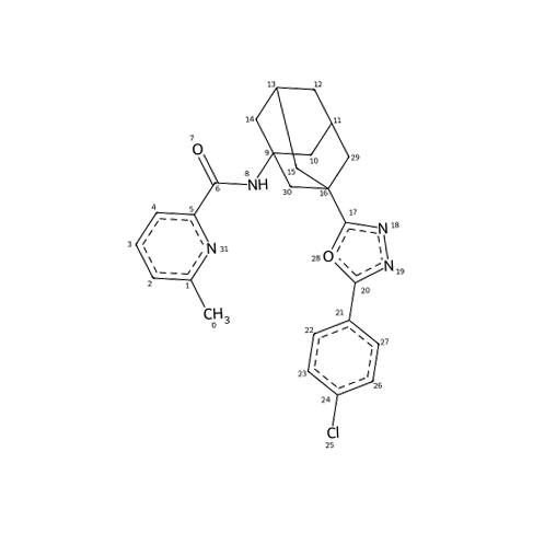 Cc1cccc(C(=O)NC23CC4CC(C2)CC(c2nnc(-c5ccc(Cl)cc5)o2)(C4)C3)n1